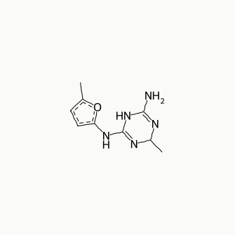 Cc1ccc(NC2=NC(C)N=C(N)N2)o1